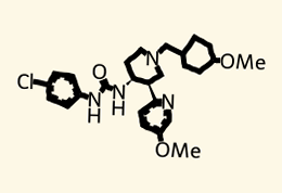 COc1ccc([C@@H]2CN(CC3CCC(OC)CC3)CC[C@H]2NC(=O)Nc2ccc(Cl)cc2)nc1